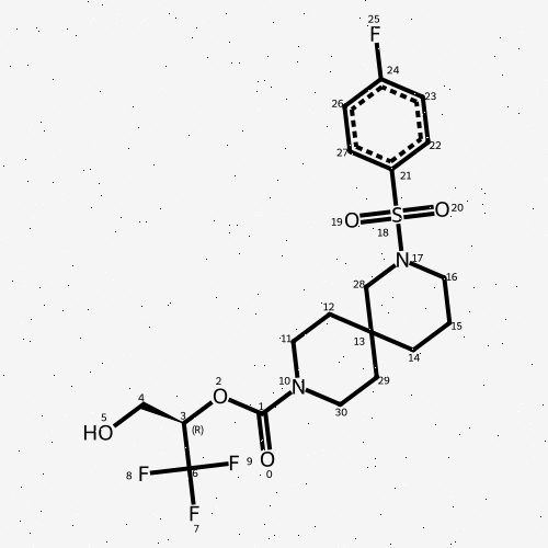 O=C(O[C@H](CO)C(F)(F)F)N1CCC2(CCCN(S(=O)(=O)c3ccc(F)cc3)C2)CC1